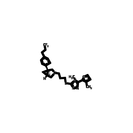 Cc1ccoc1-c1nnc(SCCCN2C[C@@H]3C[C@]3(c3ccc(CCC(F)(F)F)cc3)C2)n1C